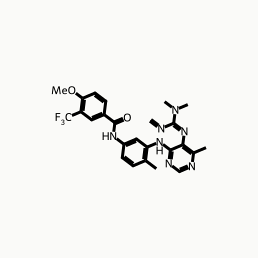 C=N/C(=N\c1c(C)ncnc1Nc1cc(NC(=O)c2ccc(OC)c(C(F)(F)F)c2)ccc1C)N(C)C